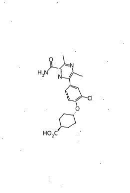 Cc1nc(C)c(-c2ccc(O[C@H]3CC[C@H](C(=O)O)CC3)c(Cl)c2)nc1C(N)=O